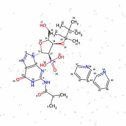 CC(C)C(=O)Nc1nc2c(ncn2[C@@H]2O[C@@H](CO)[C@@H](O[Si](C)(C)C(C)(C)C)[C@H]2P(=O)(O)O)c(=O)[nH]1.c1ccncc1.c1ccncc1